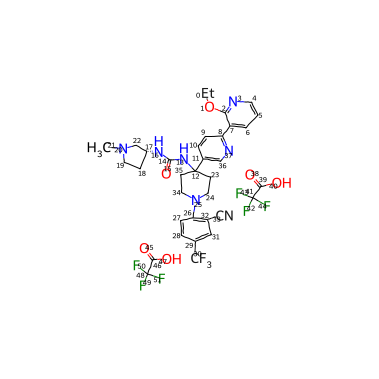 CCOc1ncccc1-c1ccc(C2(NC(=O)N[C@@H]3CCN(C)C3)CCN(c3ccc(C(F)(F)F)cc3C#N)CC2)cn1.O=C(O)C(F)(F)F.O=C(O)C(F)(F)F